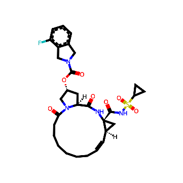 O=C1N[C@]2(C(=O)NS(=O)(=O)C3CC3)C[C@H]2/C=C\CCCCCCC(=O)N2C[C@H](OC(=O)N3Cc4cccc(F)c4C3)C[C@@H]12